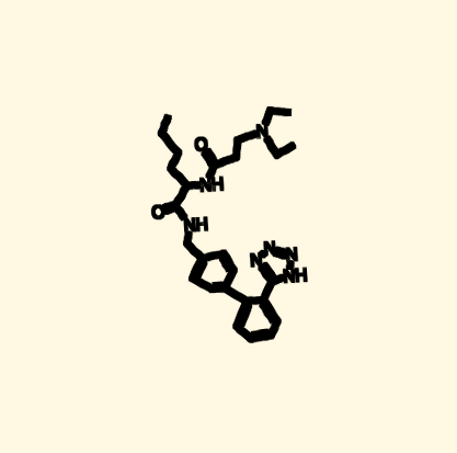 CCCCC(NC(=O)CCN(CC)CC)C(=O)NCc1ccc(-c2ccccc2-c2nnn[nH]2)cc1